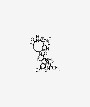 CC1CCCC(n2cnc(-c3cc(Cl)ccc3N(N)/C=C(\N)C(F)(F)F)cc2=O)c2cncc(c2)-c2c(cnn2C(F)F)NC1=O